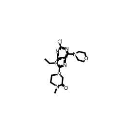 CCn1c(N2CCN(C)C(=O)C2)nc2c(N3CCOCC3)nc(Cl)nc21